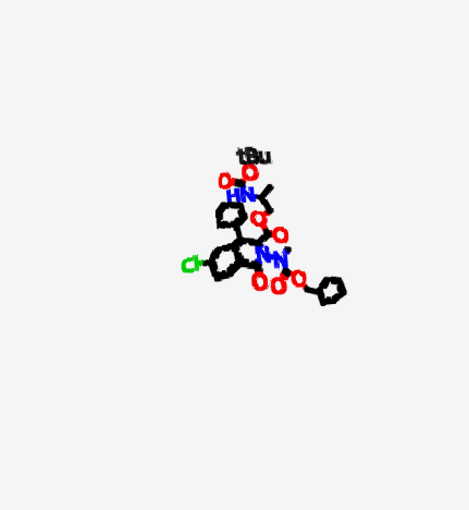 CC(COC(=O)c1c(-c2ccccc2)c2cc(Cl)ccc2c(=O)n1N(C)C(=O)OCc1ccccc1)NC(=O)OC(C)(C)C